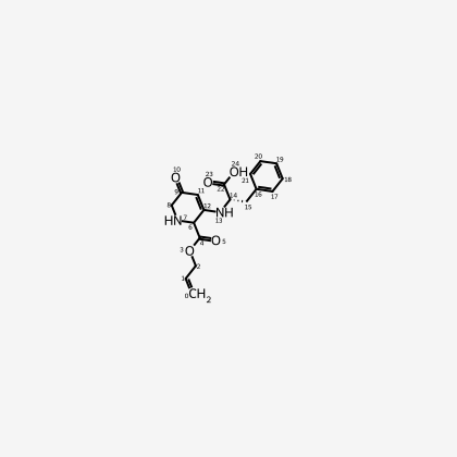 C=CCOC(=O)C1NCC(=O)C=C1N[C@@H](Cc1ccccc1)C(=O)O